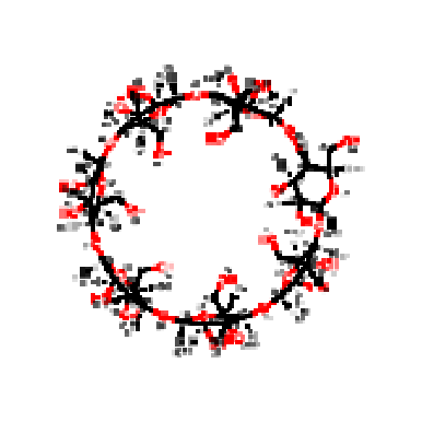 OC[C@@H]1O[C@H]2O[C@H]3[C@H](O)[C@@H](O)[C@H](O[C@H]4[C@H](O)[C@@H](O)[C@H](O[C@H]5[C@H](O)[C@@H](O)[C@H](O[C@H]6[C@H](O)[C@@H](O)[C@@H](O[C@H]7[C@H](O)[C@@H](O)[C@H](O[C@H]8[C@H](O)[C@@H](O)[C@H](O[C@H]1[C@H](O)[C@H]2O)O[C@H]8CO)O[C@H]7CO)O[C@H]6CO)O[C@@H]5CO)O[C@H]4CO)O[C@H]3CO